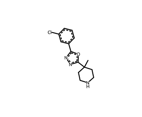 CC1(c2nnc(-c3cccc(Cl)c3)o2)CCNCC1